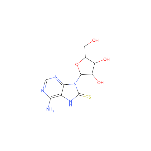 Nc1ncnc2c1[nH]c(=S)n2C1OC(CO)C(O)C1O